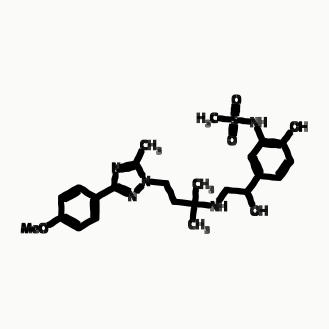 COc1ccc(-c2nc(C)n(CCC(C)(C)NCC(O)c3ccc(O)c(NS(C)(=O)=O)c3)n2)cc1